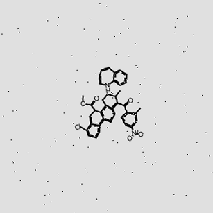 C1=CNc2ccccc2C=C1.COC(=O)C1C=c2c(Cl)cccc2=c2ccc3c(c21)CCC(C)C=3C(=O)c1ccc([N+](=O)[O-])cc1C